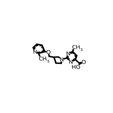 Cc1cc(C(=O)O)nc(N2CCC(COc3cccnc3C)C2)n1